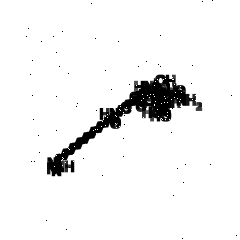 CC(=O)N(CC(=O)N[C@@H](CO)C(=O)N[C@@H](CCC(N)=O)C(=O)N[C@@H](CO)C(=O)O)OCCOCCNC(=O)CCCCCCCCCCCCCCCc1nnn[nH]1